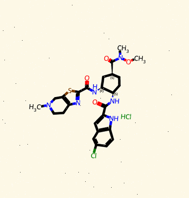 CON(C)C(=O)[C@H]1CC[C@H](NC(=O)c2cc3cc(Cl)ccc3[nH]2)[C@H](NC(=O)c2nc3c(s2)CN(C)CC3)C1.Cl